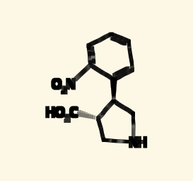 O=C(O)[C@H]1CNC[C@@H]1c1ccccc1[N+](=O)[O-]